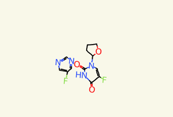 Fc1cncnc1.O=c1[nH]c(=O)n(C2CCCO2)cc1F